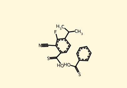 CC(C)c1ccc(C(O)=S)c(C#N)c1F.OC(=S)c1ccccc1